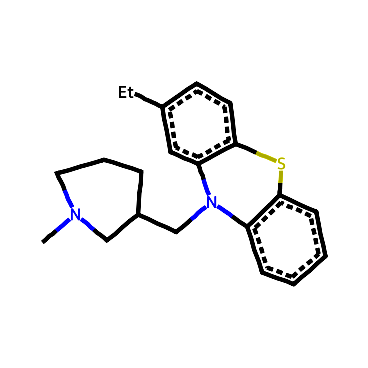 CCc1ccc2c(c1)N(CC1CCCN(C)C1)c1ccccc1S2